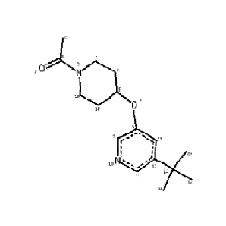 CC(=O)N1CCC(Oc2cncc(C(C)(C)C)c2)CC1